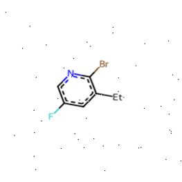 C[CH]c1cc(F)cnc1Br